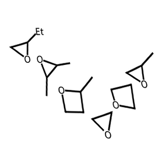 C1CO1.C1COC1.CC1CCO1.CC1CO1.CC1OC1C.CCC1CO1